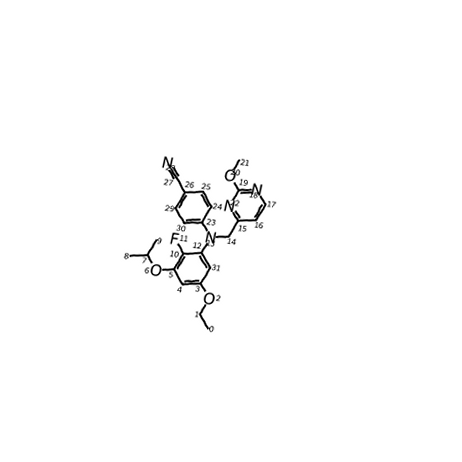 CCOc1cc(OC(C)C)c(F)c(N(Cc2ccnc(OC)n2)c2ccc(C#N)cc2)c1